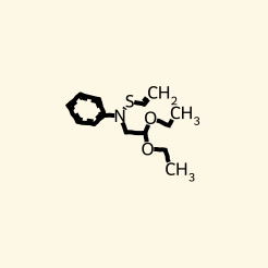 C=CSN(CC(OCC)OCC)c1ccccc1